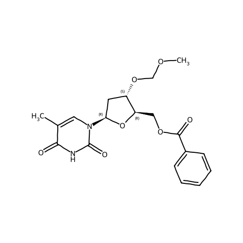 COCO[C@H]1C[C@H](n2cc(C)c(=O)[nH]c2=O)O[C@@H]1COC(=O)c1ccccc1